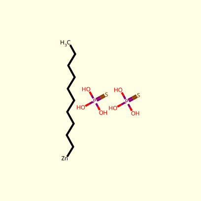 CCCCCCCCC[CH2][Zn].OP(O)(O)=S.OP(O)(O)=S